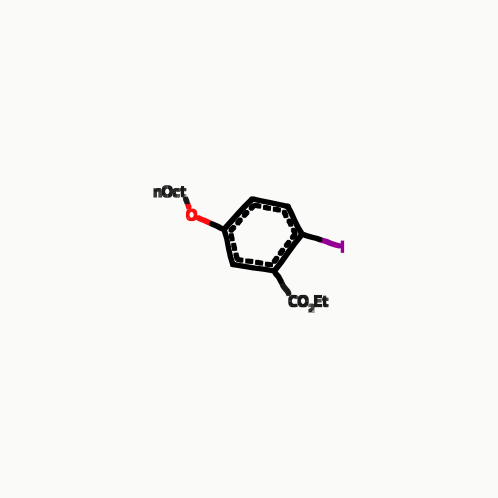 CCCCCCCCOc1ccc(I)c(C(=O)OCC)c1